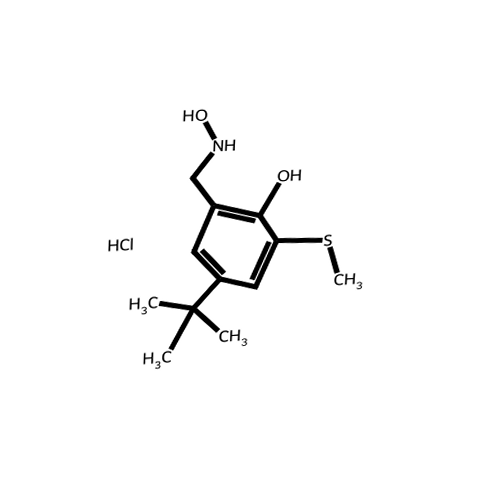 CSc1cc(C(C)(C)C)cc(CNO)c1O.Cl